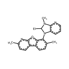 CCC1N(C)c2ncccc2N1c1c(C)ccc2c1oc1nc(C)ccc12